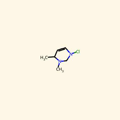 CC1C=CN(Cl)CN1C